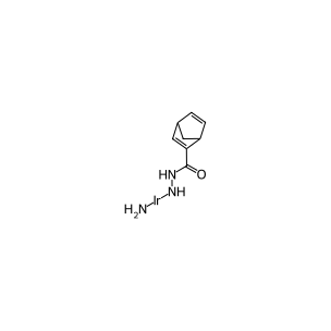 [NH2][Ir][NH]NC(=O)C1=CC2C=CC1C2